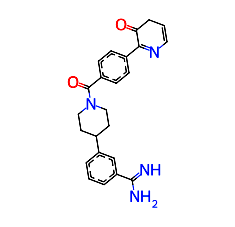 N=C(N)c1cccc(C2CCN(C(=O)c3ccc(C4=NC=CCC4=O)cc3)CC2)c1